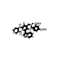 COc1ccc(CN(C)Cc2c(F)c(NC3CCOC[C@@H]3N)nc(-c3cnn4ccccc34)c2C=O)c(OC)c1